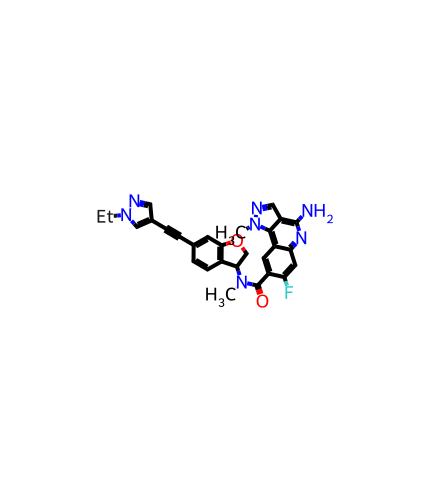 CCn1cc(C#Cc2ccc3c(c2)OCC3N(C)C(=O)c2cc3c(cc2F)nc(N)c2cnn(C)c23)cn1